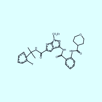 CCOC(=O)n1nc(NC(=O)c2ccccc2NC(=O)C2CCOCC2)c2cc(C(=O)NC(C)(C)c3ccccc3F)sc21